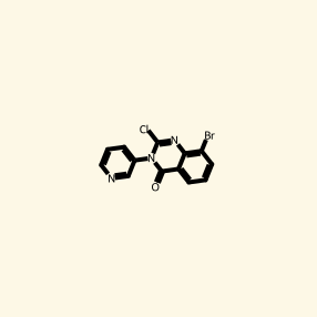 O=c1c2cccc(Br)c2nc(Cl)n1-c1cccnc1